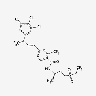 C[C@H](CCS(=O)(=O)CC(F)(F)F)NC(=O)c1ccc(/C=C/C(c2cc(Cl)c(Cl)c(Cl)c2)C(F)(F)F)cc1C(F)(F)F